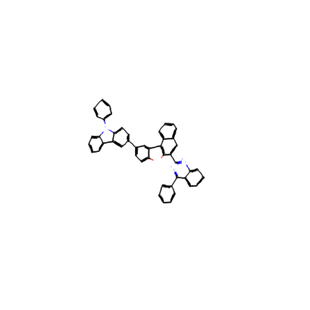 c1ccc(-c2nc(-c3cc4ccccc4c4c3oc3ccc(-c5ccc6c(c5)c5ccccc5n6-c5ccccc5)cc34)nc3ccccc23)cc1